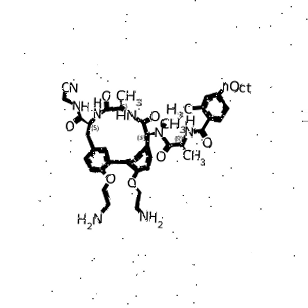 CCCCCCCCc1ccc(C(=O)N[C@H](C)C(=O)N(C)[C@@H]2C(=O)N[C@@H](C)C(=O)N[C@H](C(=O)NCC#N)Cc3ccc(OCCN)c(c3)-c3cc2ccc3OCCN)c(C)c1